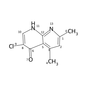 Cc1cc(C)c2c(=O)c(Cl)c[nH]c2n1